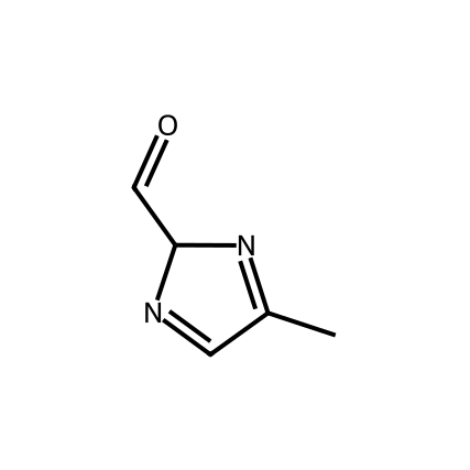 CC1=NC(C=O)N=C1